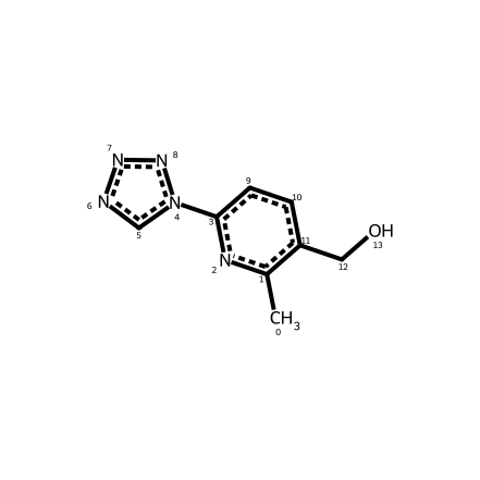 Cc1nc(-n2cnnn2)ccc1CO